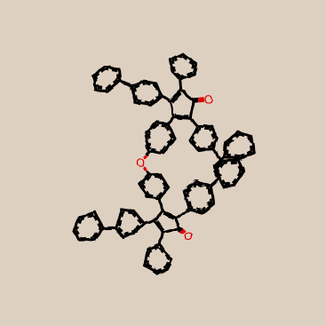 O=C1C(c2ccc(C=Cc3ccccc3)cc2)=C(c2ccc(Oc3ccc(C4=C(c5ccc(-c6ccccc6)cc5)C(=O)C(c5ccccc5)=C4c4ccc(-c5ccccc5)cc4)cc3)cc2)C(c2ccc(-c3ccccc3)cc2)=C1c1ccccc1